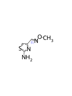 CO/N=C/c1csc(N)n1